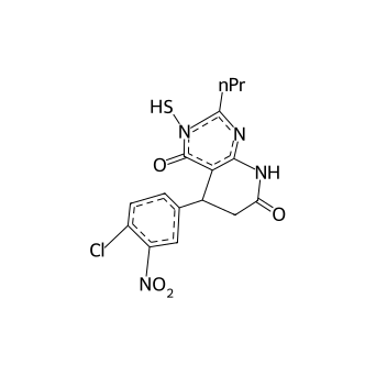 CCCc1nc2c(c(=O)n1S)C(c1ccc(Cl)c([N+](=O)[O-])c1)CC(=O)N2